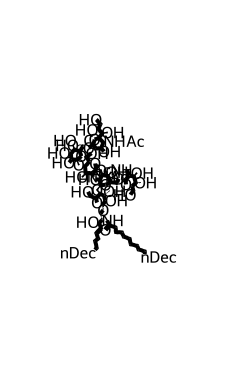 CCCCCCCCCCCCC/C=C/[C@@H](O)[C@H](CO[C@@H]1OC(CO)[C@@H](O[C@@H]2OC(CO[C@@H]3OC(CO)[C@@H](O)[C@H](O)C3NC(C)=O)[C@H](O)[C@H](O[C@@H]3OC(CO)[C@@H](O[C@@H]4OC(CO[C@]5(C(=O)O)CC(O)[C@@H](NC(C)=O)C([C@H](O)[C@H](O)CO)O5)[C@H](O)[C@H](O)C4O)[C@H](O)C3NC(C)=O)C2O)[C@H](O)C1O)NC(=O)CCCCCCCCCCCCCCCCCCC